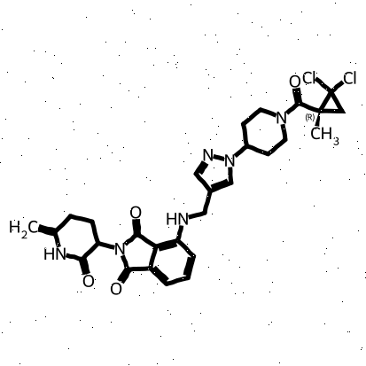 C=C1CCC(N2C(=O)c3cccc(NCc4cnn(C5CCN(C(=O)[C@@]6(C)CC6(Cl)Cl)CC5)c4)c3C2=O)C(=O)N1